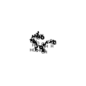 CC[C@H](C)[C@H](NC(=O)[C@H]1CCCCN1C)C(=O)N(C)[C@H](C[C@@H](OC(C)=O)c1nc(C(=O)N[C@@H](Cc2ccc(OP(=O)(O)O)c(NC(=O)CCC(C)(C)SCC(=O)NC(CC)(CC)N(C)I)c2)CC(C)C(=O)O)cs1)C(C)C